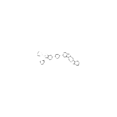 C1=CCC(c2nc3cc(-c4ccc(-c5ccc6oc7cc8c(cc7c6c5)oc5ccccc58)cc4)ccc3n2-c2ccccc2)C=C1